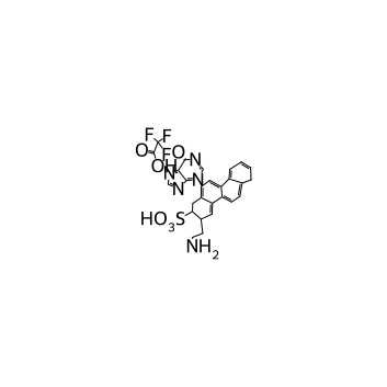 NCCC1C=c2c(ccc3c4c(ccc23)CC=CC=4)CC1S(=O)(=O)O.O=C(O)C(F)(F)F.O=C1N=CN=C2N=CN=C12